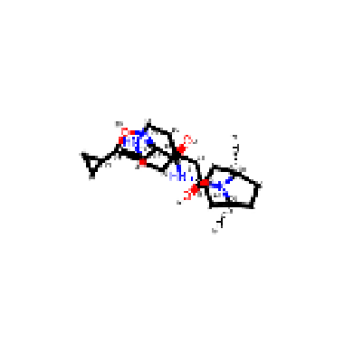 O=C(N[C@@H]1C[C@H]2CC[C@@H](C1)N2C(=O)CC1CCNCC1)c1cc(C2CC2)on1